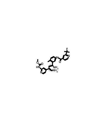 COC(=O)Nc1cc(C(/C=C(\N)c2cc(NC(=O)c3ccnc(C(C)(C)F)c3)ccc2C)=C/N)ccn1